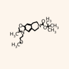 COCCN1c2cc3c(cc2OC[C@@H]1C)CCN(C(=O)OC(C)(C)C)CC3